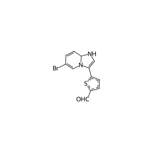 O=Cc1ccc(C2=CNC3C=CC(Br)=CN23)s1